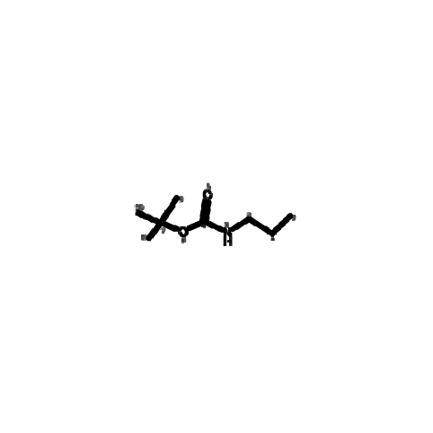 C[CH]CNC(=O)OC(C)(C)C